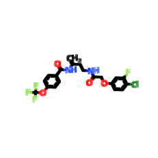 C=C(CCNC(=O)COc1ccc(Cl)c(F)c1)NC(=O)c1ccc(OC(F)(F)F)cc1